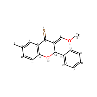 CCOC=C1C(=S)c2cc(C)ccc2OC1c1ccccc1